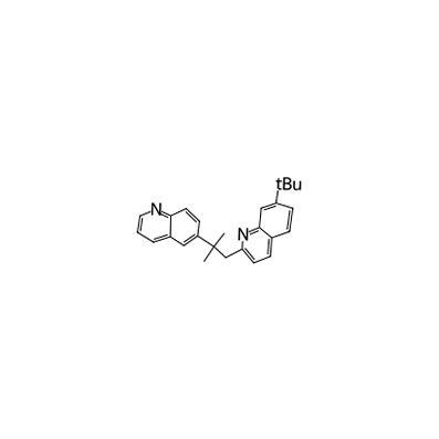 CC(C)(C)c1ccc2ccc(CC(C)(C)c3ccc4ncccc4c3)nc2c1